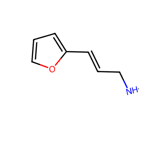 [NH]CC=Cc1ccco1